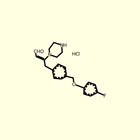 Cl.O=CC=C(Cc1ccc(COc2ccc(F)cc2)cc1)N1CCNCC1